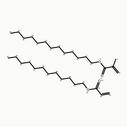 C=C(C)C(=O)OCCCCCCCCCCCCC.C=CC(=O)OCCCCCCCCCCCC